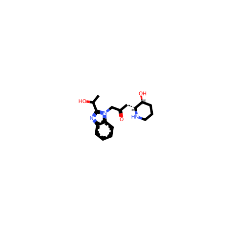 CC(O)c1nc2ccccc2n1CC(=O)C[C@H]1NCCC[C@@H]1O